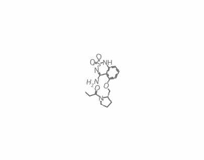 CCC(=O)N1CCC[C@@H]1COc1cccc2c1C(N)=NS(=O)(=O)N2